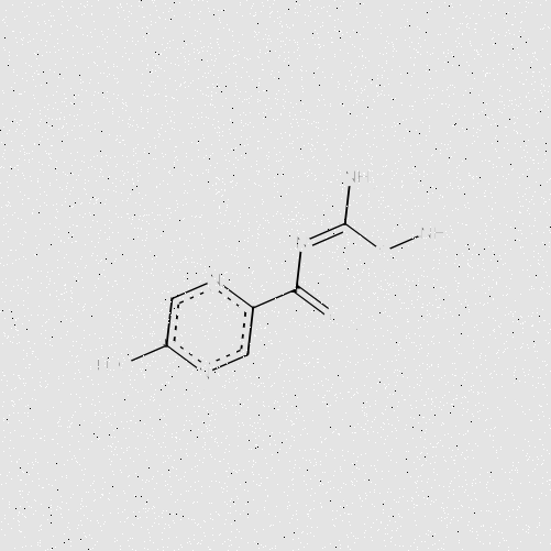 C=C(/N=C(/N)SN)c1cnc(C)cn1